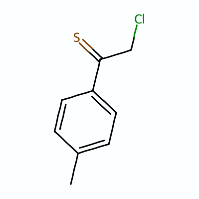 Cc1ccc(C(=S)CCl)cc1